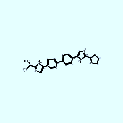 C[C@H](N)c1ncc(-c2ccc(-c3ccc(-c4cnc(C5CCCN5)[nH]4)cc3)cc2)[nH]1